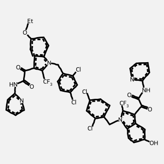 CCOc1ccc2c(c1)c(C(=O)C(=O)Nc1ccccn1)c(C(F)(F)F)n2Cc1ccc(Cl)cc1Cl.O=C(Nc1ccccn1)C(=O)c1c(C(F)(F)F)n(Cc2ccc(Cl)cc2Cl)c2ccc(O)cc12